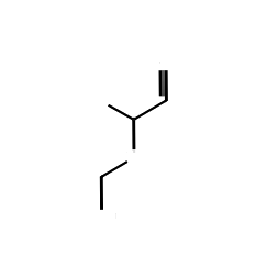 C=CC([O])[14CH2]CCCC